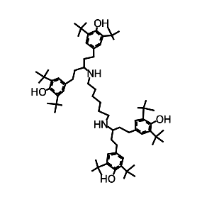 CC(C)(C)c1cc(CCC(CCc2cc(C(C)(C)C)c(O)c(C(C)(C)C)c2)NCCCCCCNC(CCc2cc(C(C)(C)C)c(O)c(C(C)(C)C)c2)CCc2cc(C(C)(C)C)c(O)c(C(C)(C)C)c2)cc(C(C)(C)C)c1O